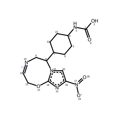 O=C(O)NC1CCC(C2C/N=C\COc3nc([N+](=O)[O-])cn32)CC1